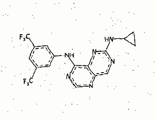 FC(F)(F)c1cc(Nc2ncnc3cnc(NC4CC4)nc23)cc(C(F)(F)F)c1